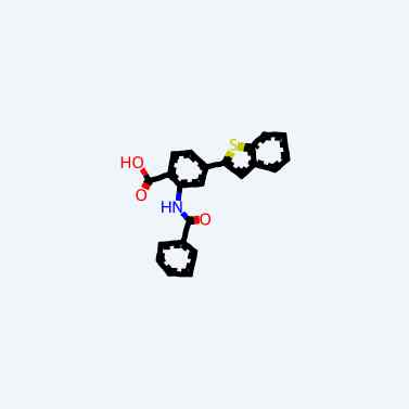 O=C(Nc1cc(-c2cc3ccccc3s2)ccc1C(=O)O)c1ccccc1